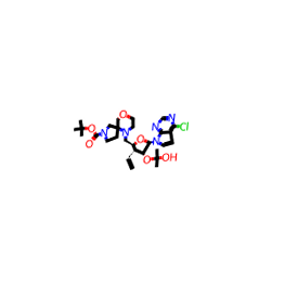 C=C[C@H]1[C@@H](OC(C)(C)O)[C@H](n2ccc3c(Cl)ncnc32)O[C@@H]1CN1CCOCC12CCN(C(=O)OC(C)(C)C)C2